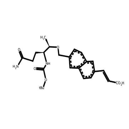 C[C@@H](OCc1ccc2cc(/C=C/C(=O)O)ccc2c1)[C@H](CCC(N)=O)NC(=O)OC(C)(C)C